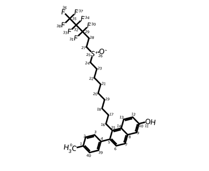 Cc1ccc(-c2ccc3cc(O)ccc3c2CCCCCCCCC[S+]([O-])CCC(F)(F)C(F)(F)C(F)(F)F)cc1